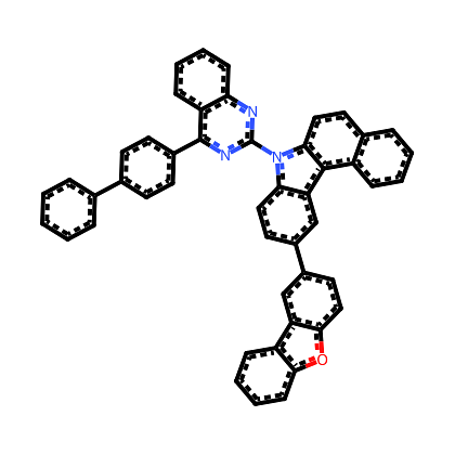 c1ccc(-c2ccc(-c3nc(-n4c5ccc(-c6ccc7oc8ccccc8c7c6)cc5c5c6ccccc6ccc54)nc4ccccc34)cc2)cc1